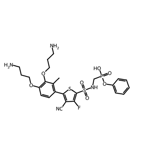 Cc1c(-c2sc(S(=O)(=O)NCP(=O)(O)Oc3ccccc3)c(F)c2C#N)ccc(OCCCN)c1OCCCN